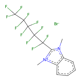 Cn1c(C(F)(F)C(F)(F)C(F)(F)C(F)(F)C(F)(F)F)[n+](C)c2ccccc21.[Br-]